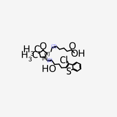 CC1(C)C[C@H](/C=C/C(O)CCc2sc3ccccc3c2Cl)[C@@H](C/C=C\CCCC(=O)O)C1=O